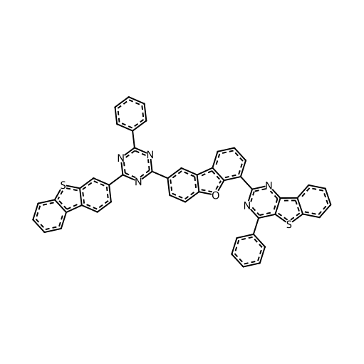 c1ccc(-c2nc(-c3ccc4c(c3)sc3ccccc34)nc(-c3ccc4oc5c(-c6nc(-c7ccccc7)c7sc8ccccc8c7n6)cccc5c4c3)n2)cc1